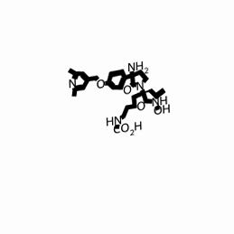 C=CC[C@](CCCCNC(=O)O)(C(=O)NO)N1CCC(N)(c2ccc(OCc3cc(C)nc(C)c3)cc2)C1=O